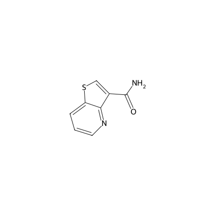 NC(=O)c1csc2cccnc12